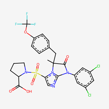 CC1(Cc2ccc(OC(F)(F)F)cc2)C(=O)N(c2cc(Cl)cc(Cl)c2)c2ncc(S(=O)(=O)N3CCCC3C(=O)O)n21